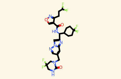 O=C(N[C@H](c1cn2ncc(CN3CC(F)(F)CNC3=O)cc2n1)C1CCC(F)(F)CC1)c1conc1CCC(F)F